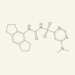 CN(C)c1cc(S(=O)(=O)NC(=O)Nc2c3c(cc4c2CCC4)CCC3)ncn1